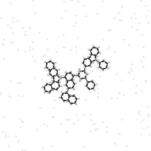 c1ccc(-c2nc(-c3ccc4c5ccccc5n(-c5ccccc5)c4c3)nc(-c3ccc(-n4c5cc6ccccc6cc5c5c6ccccc6ccc54)c4cc(-c5cccc6ccccc56)ccc34)n2)cc1